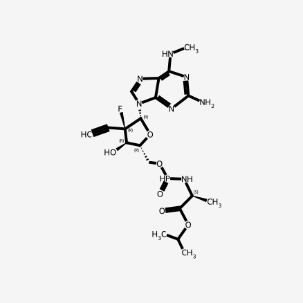 C#C[C@@]1(F)[C@H](O)[C@@H](CO[PH](=O)N[C@@H](C)C(=O)OC(C)C)O[C@H]1n1cnc2c(NC)nc(N)nc21